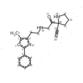 Cc1oc(-c2ccccc2)nc1CCNCC(=O)C1(C#N)CCCN1